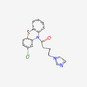 O=C(CCCn1ccnc1)N1c2ccccc2Sc2ccc(Cl)cc21